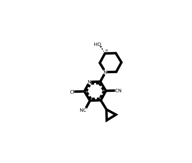 N#Cc1c(Cl)nc(N2CCC[C@@H](O)C2)c(C#N)c1C1CC1